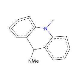 CNC1c2ccccc2N(C)c2ccccc21